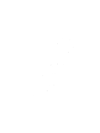 CC1(C)CCSc2ccc(C(=O)Oc3ccc(C(=O)O)cc3)cc21